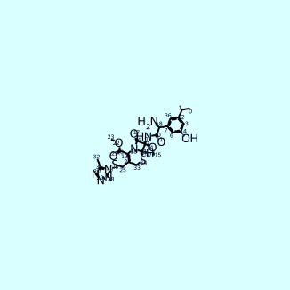 CCc1cc(O)cc(C(N)C(=O)NC2(OC)C(=O)N3C(C(=O)OC)=C(CSn4nnnc4C)CS[C@H]32)c1